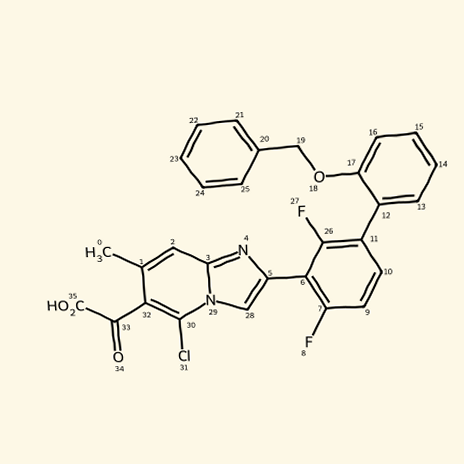 Cc1cc2nc(-c3c(F)ccc(-c4ccccc4OCc4ccccc4)c3F)cn2c(Cl)c1C(=O)C(=O)O